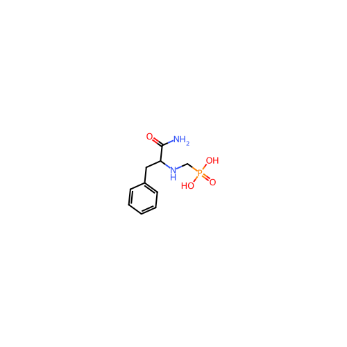 NC(=O)C(Cc1ccccc1)NCP(=O)(O)O